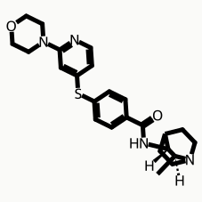 C[C@H]1[C@H](NC(=O)c2ccc(Sc3ccnc(N4CCOCC4)c3)cc2)C2CCN1CC2